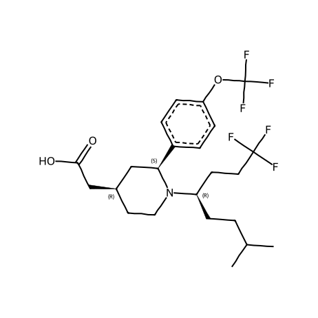 CC(C)CC[C@H](CCC(F)(F)F)N1CC[C@@H](CC(=O)O)C[C@H]1c1ccc(OC(F)(F)F)cc1